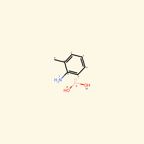 Cc1ccccc1N.OBO